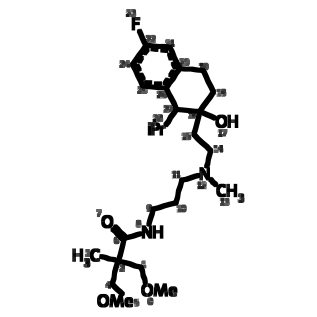 COCC(C)(COC)C(=O)NCCCN(C)CCC1(O)CCc2cc(F)ccc2C1C(C)C